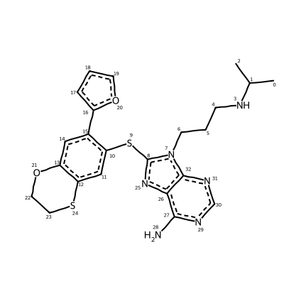 CC(C)NCCCn1c(Sc2cc3c(cc2-c2ccco2)OCCS3)nc2c(N)ncnc21